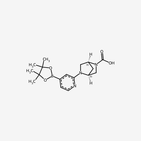 CC1(C)OB(c2ccnc(N3C[C@@H]4C[C@H]3CN4C(=O)O)c2)OC1(C)C